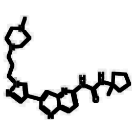 CN1CCN(CCCn2cc(-c3cnc4ccc(NC(=O)NC5(C)CCCC5)nc4c3)cn2)CC1